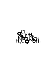 C[C@H]1c2cccc(CC[C@@](C)(O)C(F)F)c2C[C@H](CO)N1C(=O)Cc1c(Cl)cccc1Cl